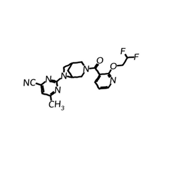 Cc1cc(C#N)nc(N2CC3CC2CN(C(=O)c2cccnc2OCC(F)F)C3)n1